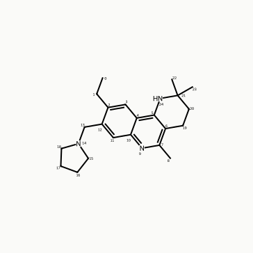 CCc1cc2c3c(c(C)nc2cc1CN1CCCC1)CCC(C)(C)N3